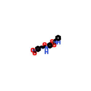 O=C(/C=C/c1ccc([N+](=O)[O-])cc1)Nc1ccc(S(=O)(=O)NCC2CCCCC2)cc1